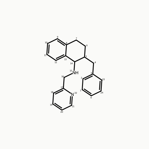 c1ccc(CC2CCc3ccccc3C2NCc2ccccn2)cc1